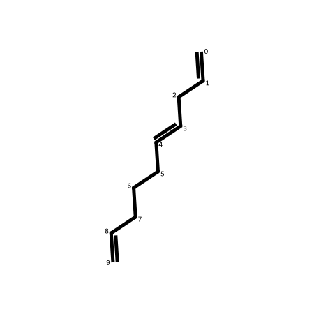 C=CCC=CCCCC=C